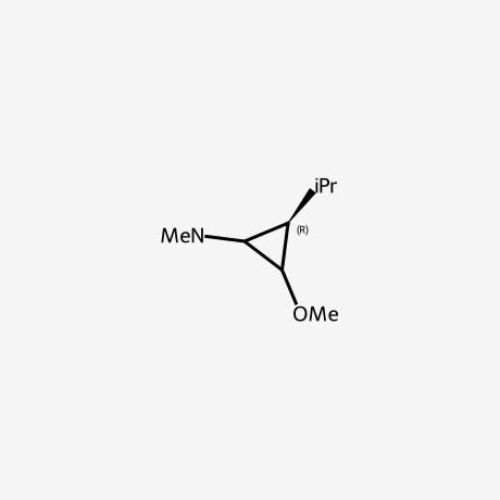 CNC1C(OC)[C@@H]1C(C)C